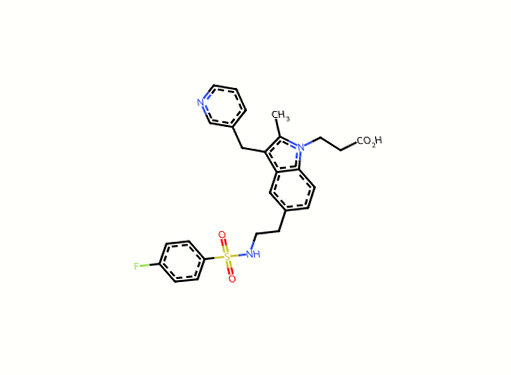 Cc1c(Cc2cccnc2)c2cc(CCNS(=O)(=O)c3ccc(F)cc3)ccc2n1CCC(=O)O